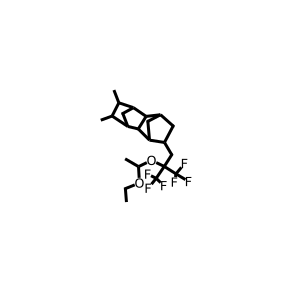 CCOC(C)OC(CC1CC2CC1C1C3CC(C(C)C3C)C21)(C(F)(F)F)C(F)(F)F